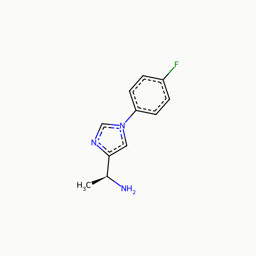 C[C@H](N)c1cn(-c2ccc(F)cc2)cn1